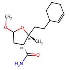 COC1C[C@@H](C(N)=O)[C@@](C)(CCC2C=CCCC2)O1